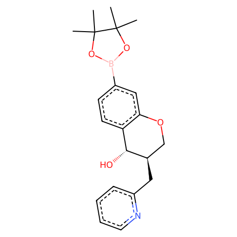 CC1(C)OB(c2ccc3c(c2)OC[C@@H](Cc2ccccn2)[C@@H]3O)OC1(C)C